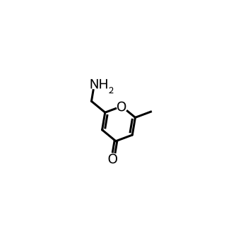 Cc1cc(=O)cc(CN)o1